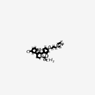 COC(=O)N1CCc2c([nH]c3ccc(Cl)cc23)C1c1ccc(OCCCn2ccnc2)cc1